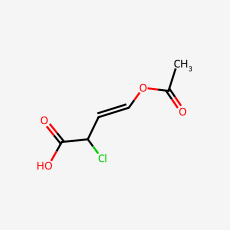 CC(=O)OC=CC(Cl)C(=O)O